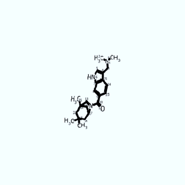 CN(C)Cc1c[nH]c2cc(C(=O)N3CC4(C)CC3CC(C)(C)C4)ccc12